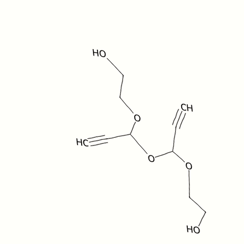 C#CC(OCCO)OC(C#C)OCCO